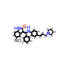 O=C1Nc2ccc([N+](=O)[O-])cc2/C1=C(/Nc1ccc(/C=C/CN2CCCC2)cc1)c1ccccc1